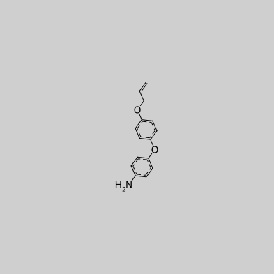 C=CCOc1ccc(Oc2ccc(N)cc2)cc1